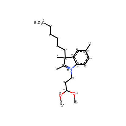 CCOC(=O)CCCCCC1(C)C(C)=[N+](CCC(OCC)OCC)c2ccc(C)cc21